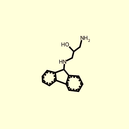 NCC(O)CNC1c2ccccc2-c2ccccc21